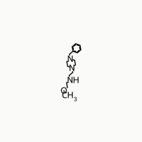 COCCNCCN1CCN(Cc2ccccc2)CC1